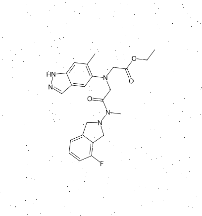 CCOC(=O)CN(CC(=O)N(C)N1Cc2cccc(F)c2C1)c1cc2cn[nH]c2cc1C